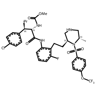 COC(=O)N[C@H](C(=O)Nc1cccc(F)c1CC[C@H]1CNC[C@H](C)N1S(=O)(=O)c1ccc(OC(F)(F)F)cc1)[C@@H](c1ccc(Cl)cc1)C(C)C